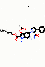 COCCCOC(=O)c1[nH]c2ccc(N3CC[C@@H](c4ccccc4)[C@H]3C(N)=O)cc2c1OC(=O)C(F)(F)F